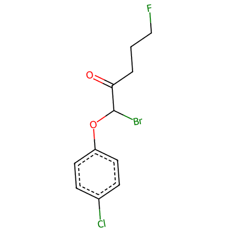 O=C(CCCF)C(Br)Oc1ccc(Cl)cc1